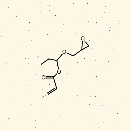 C=CC(=O)OC(CC)OCC1CO1